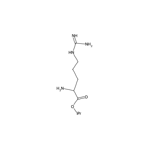 CC(C)OC(=O)C(N)CCCNC(=N)N